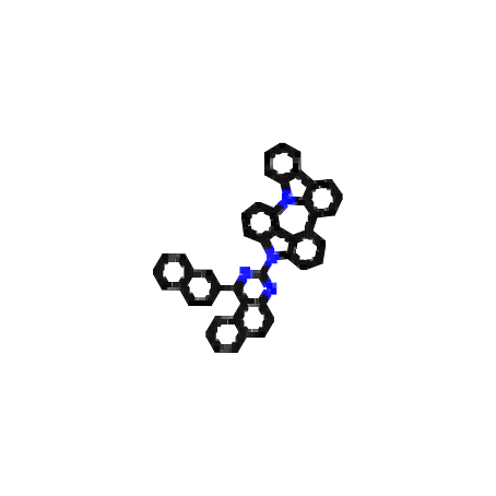 c1ccc2cc(-c3nc(-n4c5cccc6c7cccc8c9ccccc9n(c9cccc4c9c65)c78)nc4ccc5ccccc5c34)ccc2c1